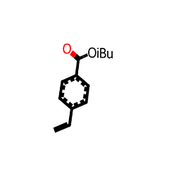 C=Cc1ccc(C(=O)OCC(C)C)cc1